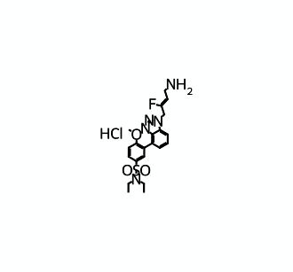 CCN(CC)S(=O)(=O)c1ccc(OC)c(-c2cccc3c2nnn3C/C(F)=C/CN)c1.Cl